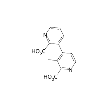 Cc1c(-c2cccnc2C(=O)O)ccnc1C(=O)O